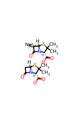 CC1(C)S[C@@H]2CC(=O)N2[C@H]1C(=O)[O-].CC1(C)S[C@@H]2CC(=O)N2[C@H]1C(=O)[O-].[Na+].[Na+]